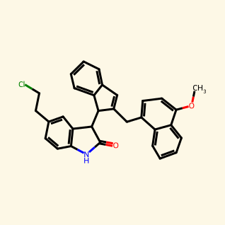 COc1ccc(CC2=Cc3ccccc3C2C2C(=O)Nc3ccc(CCCl)cc32)c2ccccc12